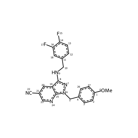 COc1ccc(Cn2nc(NCc3ccc(F)c(F)c3)c3cc(C#N)cnc32)cc1